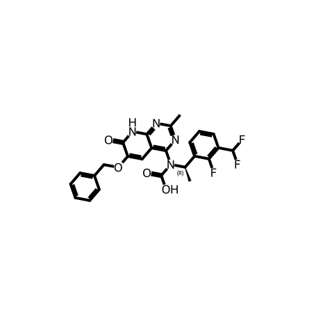 Cc1nc(N(C(=O)O)[C@H](C)c2cccc(C(F)F)c2F)c2cc(OCc3ccccc3)c(=O)[nH]c2n1